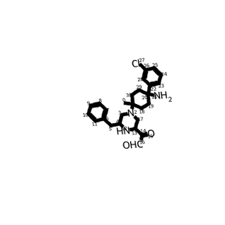 CC1(N2CC(Cc3ccccc3)NC(C(=O)C=O)C2)CCC(N)(c2cccc(Cl)c2)CC1